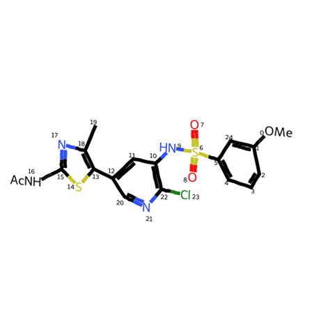 COc1cccc(S(=O)(=O)Nc2cc(-c3sc(NC(C)=O)nc3C)cnc2Cl)c1